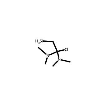 CN(C)C(Cl)(C[SiH3])N(C)C